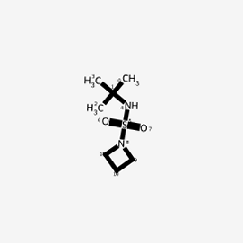 CC(C)(C)NS(=O)(=O)N1CCC1